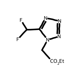 CCOC(=O)Cn1nnnc1C(F)F